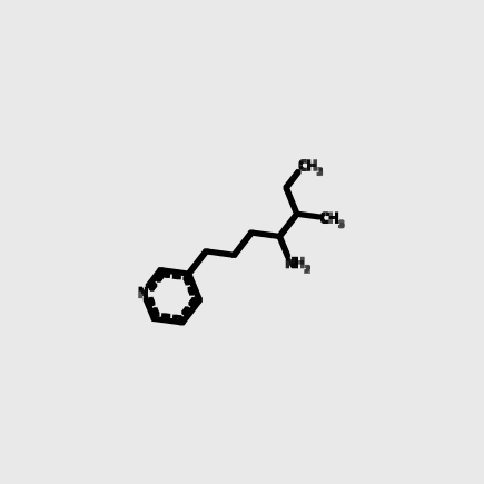 CCC(C)C(N)CCCc1cccnc1